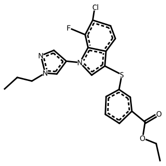 CCCn1cc(-n2cc(Sc3cccc(C(=O)OCC)c3)c3ccc(Cl)c(F)c32)cn1